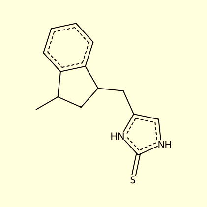 CC1CC(Cc2c[nH]c(=S)[nH]2)c2ccccc21